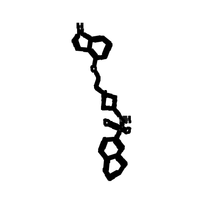 O=S(=O)(NC1CN(CCOc2cccc3[nH]ccc23)C1)c1ccc2ccccc2c1